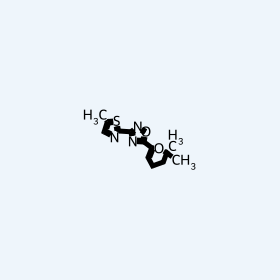 Cc1cnc(-c2noc(C3=CCCC(C)(C)O3)n2)s1